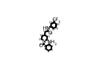 N[C@@H]1CCCC[C@H]1C(=O)N1CCC(CC(=O)Nc2cccc(C(F)(F)F)c2)CC1